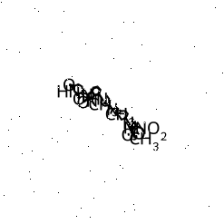 CN(CC1CCC(n2cc([N+](=O)[O-])c(S(C)(=O)=O)n2)CC1)C1CCN(c2cccc3c2n(C)c(=O)n3C2CCC(=O)NC2=O)CC1